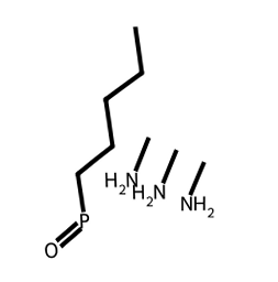 CCCCCP=O.CN.CN.CN